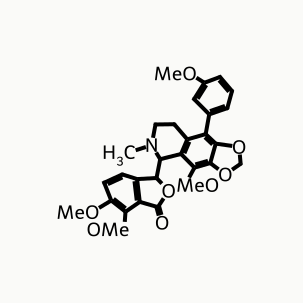 COc1cccc(-c2c3c(c(OC)c4c2OCO4)C(C2OC(=O)c4c2ccc(OC)c4OC)N(C)CC3)c1